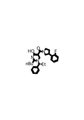 CCCCC1=NC(O)=C(C(=O)N2CCC(c3ccccc3F)C2)CN1[C@@H](CC)c1ccccc1